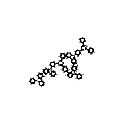 c1ccc(-c2cc(-c3ccc(-n4c5ccccc5c5cc6c(cc54)sc4cc5c(cc46)c4c(-c6ccc(-c7nc(-c8ccccc8)nc(-c8cccc(-n9c%10ccccc%10c%10c%11oc%12c(ccc%13c%12c%12ccccc%12n%13-c%12ccccc%12)c%11ccc%109)c8)n7)cc6)cccc4n5-c4ccccc4)cc3)nc(-c3ccccc3)n2)cc1